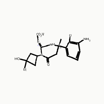 CCC1(O)CC(N2C(=O)C[C@@](C)(c3cccc(N)c3Cl)N/C2=N\C(=O)O)C1